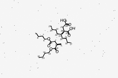 C=C(CC(=O)OCCCC)C(=O)OCCCC.CCCCC(CCCC)=C(CC(=O)O)C(=O)O